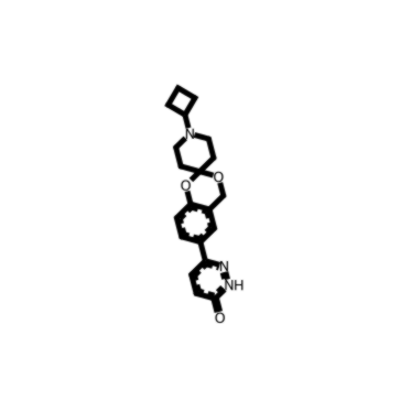 O=c1ccc(-c2ccc3c(c2)COC2(CCN(C4CCC4)CC2)O3)n[nH]1